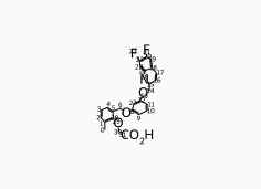 Cc1cccc(COc2cccc(OCc3ccc4cc(F)c(F)cc4n3)c2)c1OCC(=O)O